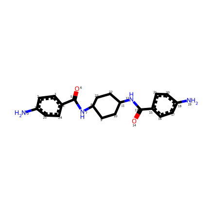 Nc1ccc(C(=O)NC2CCC(NC(=O)c3ccc(N)cc3)CC2)cc1